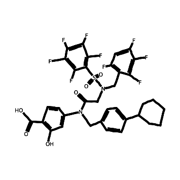 O=C(O)c1ccc(N(Cc2ccc(C3CCCCC3)cc2)C(=O)CN(Cc2c(F)cc(F)c(F)c2F)S(=O)(=O)c2c(F)c(F)c(F)c(F)c2F)cc1O